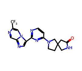 O=C1CC2(CCN(c3ccnc(-c4cnc5cnc(C(F)(F)F)cn45)n3)C2)CN1